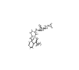 NC(=O)C1C=CC=CC1(F)CC1CCC(CNC(=O)NCC2CC2)CC1